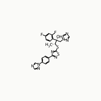 C[C@@H](Sc1nc(-c2ccc(-n3cncn3)cc2)ns1)[C@](O)(Cn1cncn1)c1ccc(F)cc1F